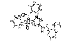 Cc1ccccc1CNc1nc(NC(=O)c2ccccc2C)n(-c2cccnc2)n1